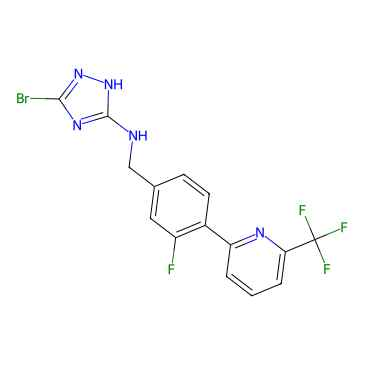 Fc1cc(CNc2nc(Br)n[nH]2)ccc1-c1cccc(C(F)(F)F)n1